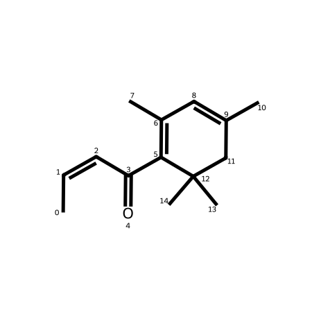 C/C=C\C(=O)C1=C(C)C=C(C)CC1(C)C